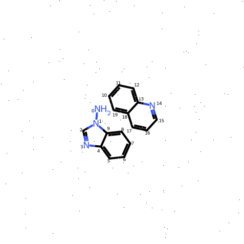 Nn1cnc2ccccc21.c1ccc2ncccc2c1